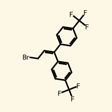 FC(F)(F)c1ccc(C(=CCBr)c2ccc(C(F)(F)F)cc2)cc1